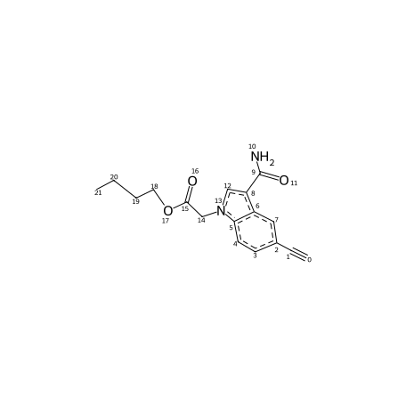 C#Cc1ccc2c(c1)c(C(N)=O)cn2CC(=O)OCCCC